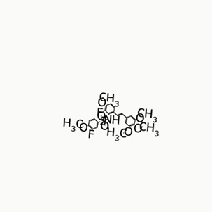 COc1ccc(S(=O)(=O)Nc2c(C=Cc3cc(OC)c(OC)c(OC)c3)ccc(OC)c2F)cc1F